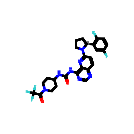 O=C(Nc1ncnc2ccc(N3CCC[C@@H]3c3cc(F)ccc3F)nc12)NC1CCN(C(=O)C(F)(F)F)CC1